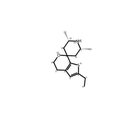 CCc1cc2c(s1)C1(C[C@@H](C)N[C@@H](C)C1)OCC2